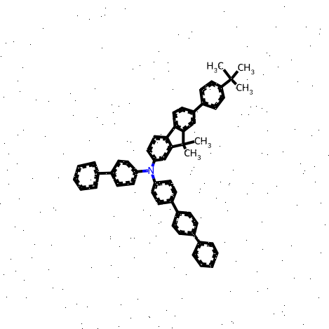 CC(C)(C)c1ccc(-c2ccc3c(c2)C(C)(C)c2cc(N(c4ccc(-c5ccccc5)cc4)c4ccc(-c5ccc(-c6ccccc6)cc5)cc4)ccc2-3)cc1